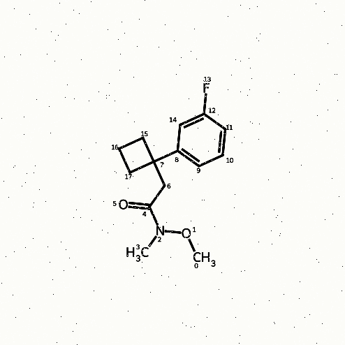 CON(C)C(=O)CC1(c2cccc(F)c2)CCC1